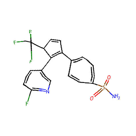 NS(=O)(=O)c1ccc(C2=C(c3ccc(F)nc3)C(C(F)(F)F)C=C2)cc1